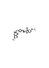 Nc1ccc2nc(NCc3ccc(Oc4ncc5cc(Cl)ccc5n4)cc3)[nH]c2c1